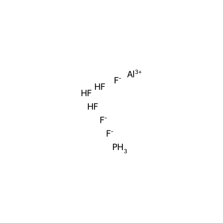 F.F.F.P.[Al+3].[F-].[F-].[F-]